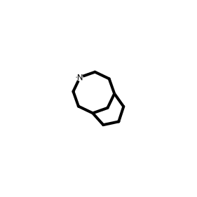 C1CC2CC[N]CCC(C1)C2